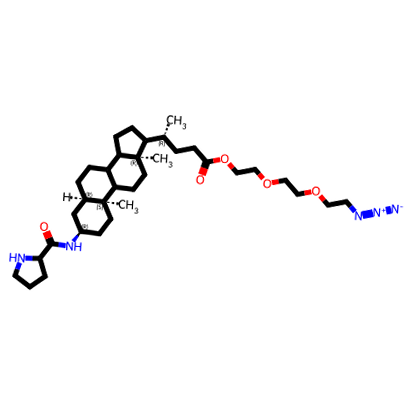 C[C@H](CCC(=O)OCCOCCOCCN=[N+]=[N-])C1CCC2C3CC[C@@H]4C[C@H](NC(=O)C5CCCN5)CC[C@]4(C)C3CC[C@@]21C